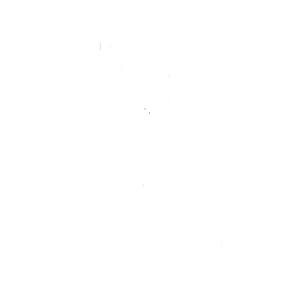 COc1cn(C(Cc2ccsc2)C(=O)O)c(=O)cc1-c1cc(Cl)ccc1C(C)=O